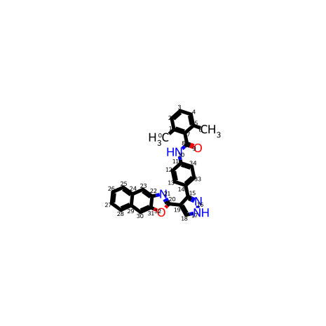 Cc1cccc(C)c1C(=O)Nc1ccc(-c2n[nH]cc2-c2nc3cc4ccccc4cc3o2)cc1